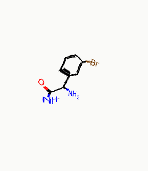 [NH]C(=O)C(N)c1cccc(Br)c1